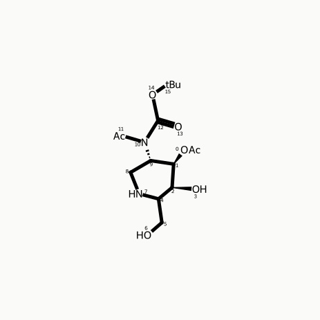 CC(=O)O[C@H]1[C@@H](O)C(CO)NC[C@@H]1N(C(C)=O)C(=O)OC(C)(C)C